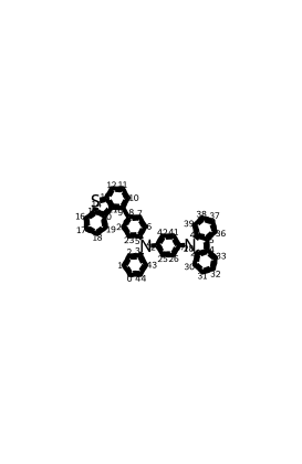 c1ccc(N(c2ccc(-c3cccc4sc5ccccc5c34)cc2)c2ccc(-n3c4ccccc4c4ccccc43)cc2)cc1